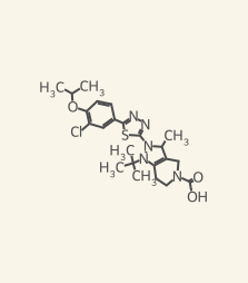 CC(C)Oc1ccc(-c2nnc(N3C(C)C4=C(CCN(C(=O)O)C4)N3C(C)(C)C)s2)cc1Cl